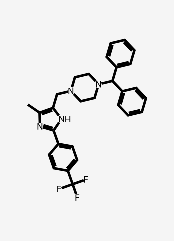 Cc1nc(-c2ccc(C(F)(F)F)cc2)[nH]c1CN1CCN(C(c2ccccc2)c2ccccc2)CC1